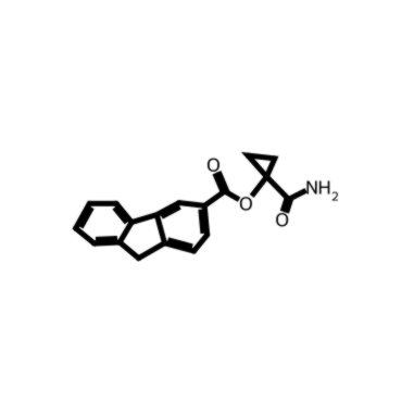 NC(=O)C1(OC(=O)c2ccc3c(c2)-c2ccccc2C3)CC1